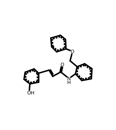 O=C(/C=C/c1cccc(O)c1)Nc1ccccc1COc1ccccc1